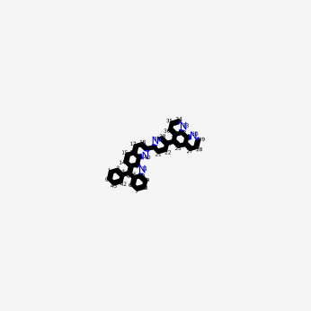 c1ccc(-c2c3ccccc3nc3c2ccc2ccc(-c4ccc(-c5cc6cccnc6c6ncccc56)cn4)nc23)cc1